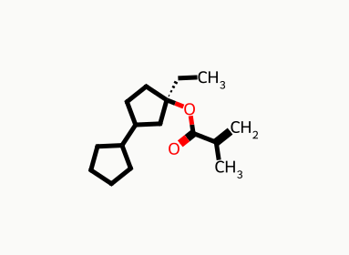 C=C(C)C(=O)O[C@]1(CC)CCC(C2CCCC2)C1